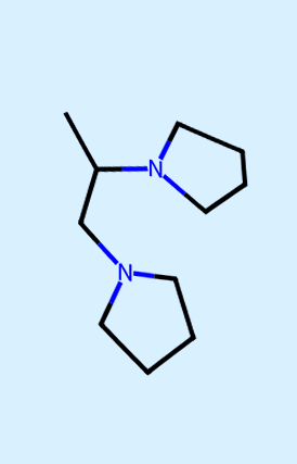 CC(CN1CCCC1)N1CCCC1